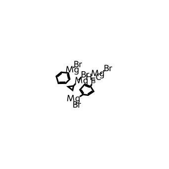 Fc1cc[c]([Mg][Br])cc1.[Br][Mg][CH]1CC1.[Br][Mg][c]1ccccc1.[CH3][Mg][Br]